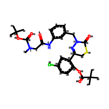 CN(CC(=O)Nc1cccc(CN2N=C(c3cc(Cl)ccc3OC(=O)C(C)(C)C)CSC2=O)c1)C(=O)OC(C)(C)C